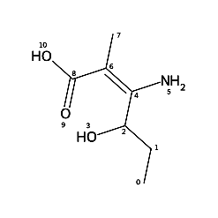 CCC(O)/C(N)=C(/C)C(=O)O